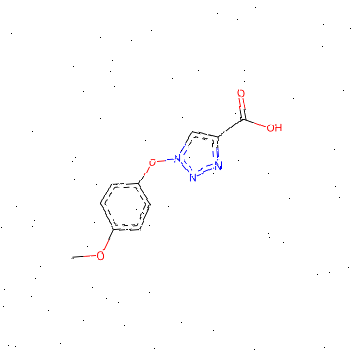 COc1ccc(On2cc(C(=O)O)nn2)cc1